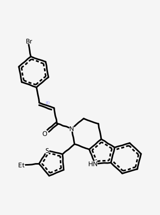 CCc1ccc(C2c3[nH]c4ccccc4c3CCN2C(=O)/C=C/c2ccc(Br)cc2)s1